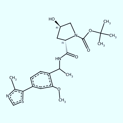 COc1cc(-c2scnc2C)ccc1C(C)NC(=O)[C@@H]1C[C@@H](O)CN1C(=O)OC(C)(C)C